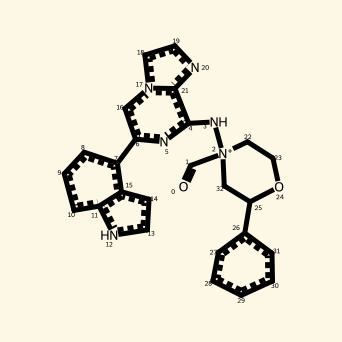 O=C[N+]1(Nc2nc(-c3cccc4[nH]ccc34)cn3ccnc23)CCOC(c2ccccc2)C1